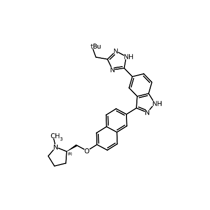 CN1CCC[C@@H]1COc1ccc2cc(-c3n[nH]c4ccc(-c5nc(CC(C)(C)C)n[nH]5)cc34)ccc2c1